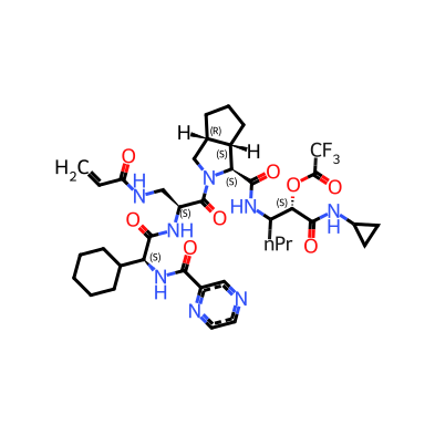 C=CC(=O)NC[C@H](NC(=O)[C@@H](NC(=O)c1cnccn1)C1CCCCC1)C(=O)N1C[C@@H]2CCC[C@@H]2[C@H]1C(=O)NC(CCC)[C@H](OC(=O)C(F)(F)F)C(=O)NC1CC1